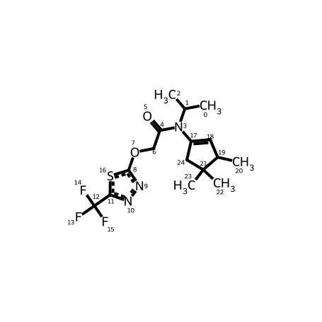 CC(C)N(C(=O)COc1nnc(C(F)(F)F)s1)C1=CC(C)C(C)(C)C1